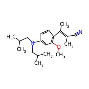 COc1cc(N(CC(C)C)CC(C)C)ccc1/C(C)=C(\C)C#N